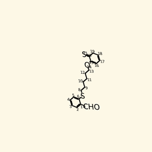 O=Cc1ccccc1SCCCCCCOC1=CC=CCC1=S